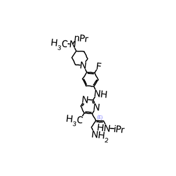 CCCN(C)C1CCN(c2ccc(Nc3ncc(C)c(/C(=C/NC(C)C)CN)n3)cc2F)CC1